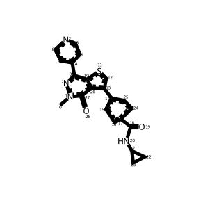 Cn1nc(-c2ccncc2)c2scc(-c3ccc(C(=O)NC4CC4)cc3)c2c1=O